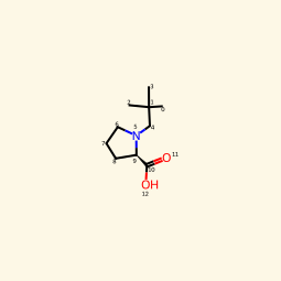 CC(C)(C)CN1CCC[C@@H]1C(=O)O